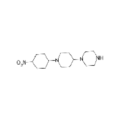 O=[N+]([O-])C1CCC(N2CCC(N3CCNCC3)CC2)CC1